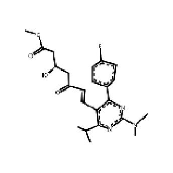 COC(=O)C[C@H](O)CC(=O)/C=C/c1c(-c2ccc(F)cc2)nc(N(C)C)nc1C(C)C